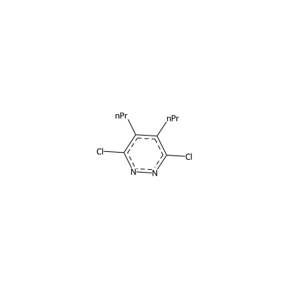 CCCc1c(Cl)nnc(Cl)c1CCC